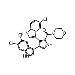 O=C(c1[nH]cc(-c2c[nH]c3cc(Cl)c(Cl)cc23)c1C1=CNC2C=CC(Cl)=CC12)N1CCOCC1